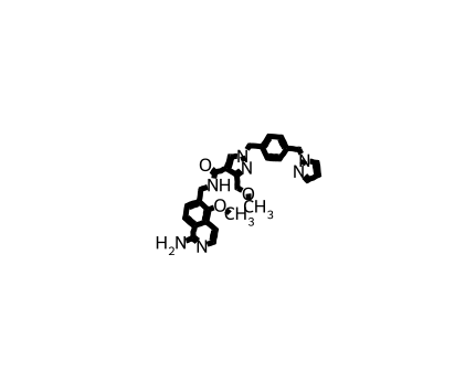 COCc1nn(Cc2ccc(Cn3cccn3)cc2)cc1C(=O)NCc1ccc2c(N)nccc2c1OC